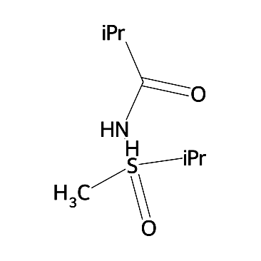 CC(C)C(=O)N[SH](C)(=O)C(C)C